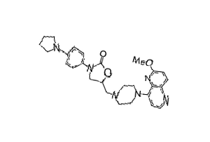 COc1ccc2nccc(N3CCN(CC4CN(c5ccc(N6CCCC6)cc5)C(=O)O4)CC3)c2n1